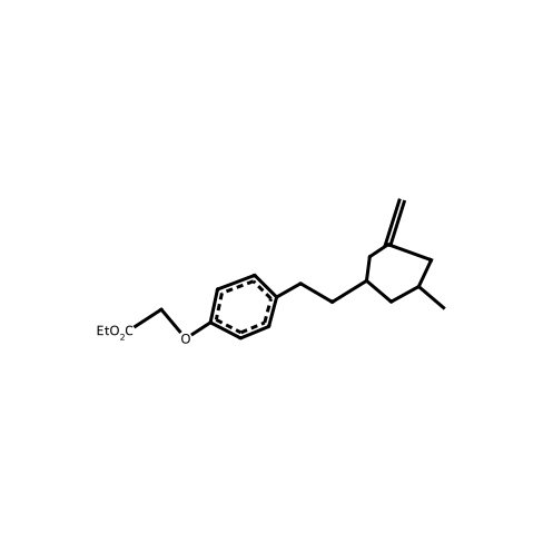 C=C1CC(C)CC(CCc2ccc(OCC(=O)OCC)cc2)C1